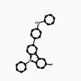 Fc1ccc2c(c1)c1cc(-c3ccc(Nc4ccccc4)cc3)ccc1n2-c1ccccc1